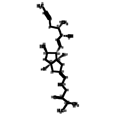 CC#CC[C@H](C)[C@H](O)/C=C/[C@@H]1[C@H]2C/C(=C/NCC(=O)N(C)C)C[C@H]2C[C@H]1O